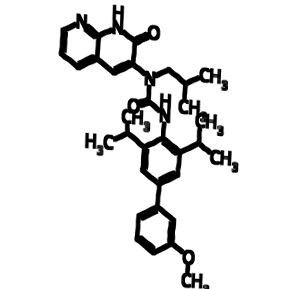 COc1cccc(-c2cc(C(C)C)c(NC(=O)N(CC(C)C)c3cc4cccnc4[nH]c3=O)c(C(C)C)c2)c1